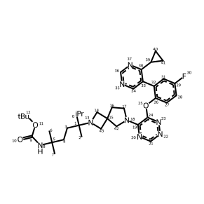 CC(C)C(C)(CCC(C)(C)NC(=O)OC(C)(C)C)N1CC2(CCN(c3ncnnc3Oc3ccc(F)cc3-c3cncnc3C3CC3)C2)C1